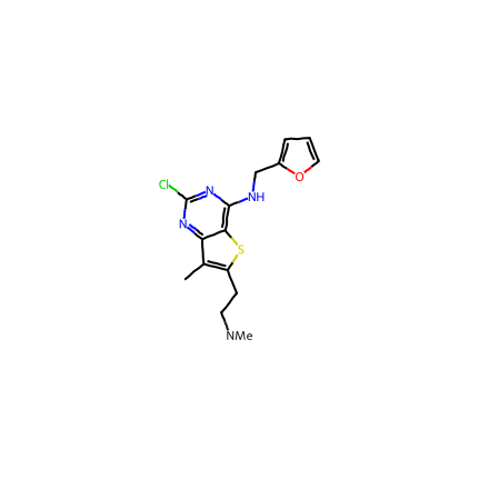 CNCCc1sc2c(NCc3ccco3)nc(Cl)nc2c1C